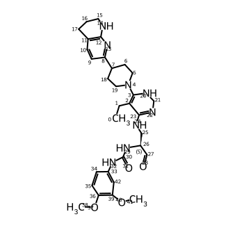 CCC1=C(N2CCC(c3ccc4c(n3)NCCC4)CC2)NCN=C1NC[C@@H](C=O)NC(=O)Nc1ccc(OC)c(OC)c1